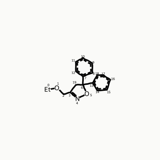 CCOCC1=NOC(c2ccccc2)(c2ccccc2)C1